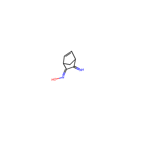 N=C1C(=NO)C2C=CC1C2